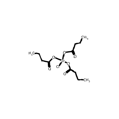 CCCC(=O)[O][Zr]([Cl])([O]C(=O)CCC)[O]C(=O)CCC